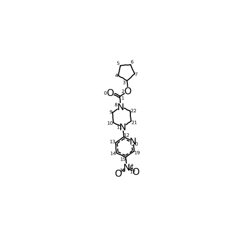 O=C(OC1CCCC1)N1CCN(c2ccc([N+](=O)[O-])cn2)CC1